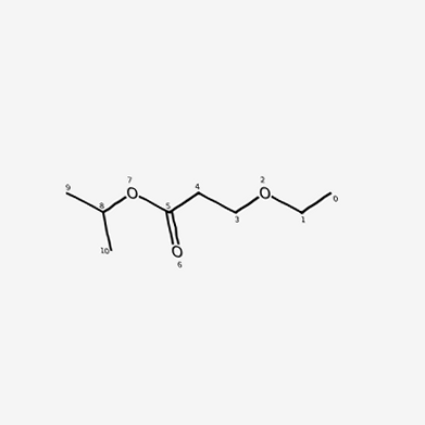 CCOCCC(=O)OC(C)C